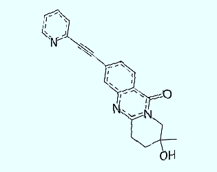 CC1(O)CCc2nc3cc(C#Cc4ccccn4)ccc3c(=O)n2C1